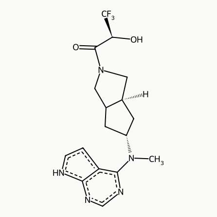 CN(c1ncnc2[nH]ccc12)[C@@H]1CC2CN(C(=O)[C@H](O)C(F)(F)F)C[C@H]2C1